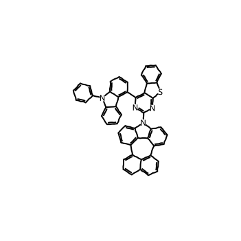 c1ccc(-n2c3ccccc3c3c(-c4nc(-n5c6cccc7c6c6c(cccc65)-c5cccc6cccc-7c56)nc5sc6ccccc6c45)cccc32)cc1